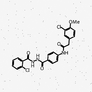 COc1ccc(CC(=O)Nc2ccc(C(=O)NNC(=O)c3ccccc3Cl)cc2)cc1Cl